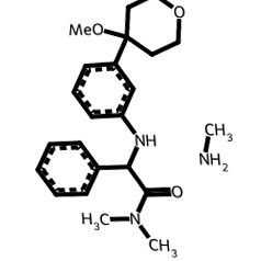 CN.COC1(c2cccc(NC(C(=O)N(C)C)c3ccccc3)c2)CCOCC1